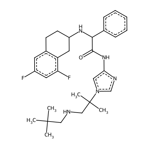 CC(C)(C)CNCC(C)(C)n1cnc(NC(=O)C(NC2CCc3cc(F)cc(F)c3C2)c2ccccc2)c1